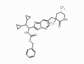 O=C(NC(c1cn2ncc(CC3(C(=O)O)C[C@H](C(F)(F)F)CNC3=O)cc2n1)C(C1CC1)C1CC1)OCc1ccccc1